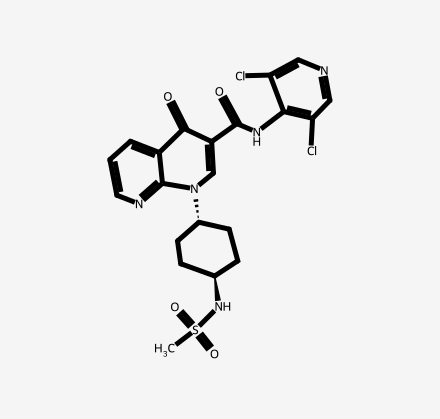 CS(=O)(=O)N[C@H]1CC[C@H](n2cc(C(=O)Nc3c(Cl)cncc3Cl)c(=O)c3cccnc32)CC1